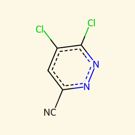 N#Cc1cc(Cl)c(Cl)nn1